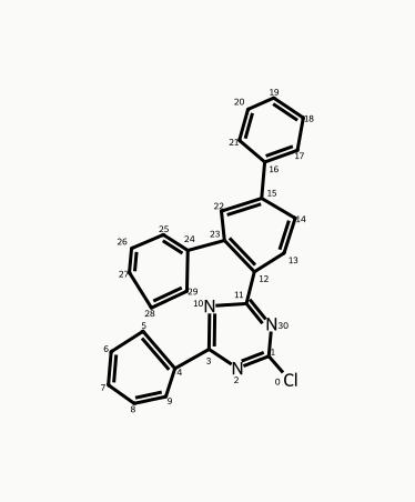 Clc1nc(-c2ccccc2)nc(-c2ccc(-c3ccccc3)cc2-c2ccccc2)n1